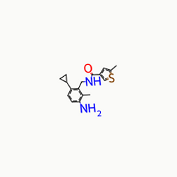 Cc1cc(C(=O)NCc2c(C3CC3)ccc(N)c2C)cs1